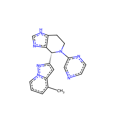 Cc1cccn2nc([C@@H]3c4nc[nH]c4CCN3c3cnccn3)cc12